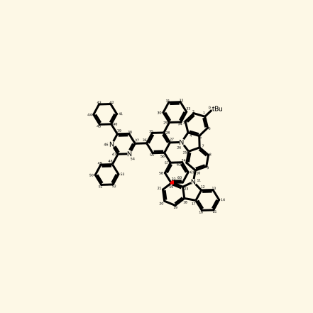 CC(C)(C)c1ccc2c(c1)c1ccc(-n3c4ccccc4c4ccccc43)cc1n2-c1c(-c2ccccc2)cc(-c2cc(C3=CCCC=C3)nc(-c3ccccc3)n2)cc1-c1ccccc1